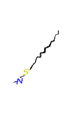 CCCCCCCCCCCCCCSCCN(C)C